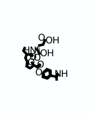 CCC(CC1=CCC(C(=O)Oc2ccc(C(C)=N)cc2)O1)C(=O)N[C@H](CCC(=O)O)C(=O)O